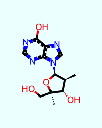 C[C@@H]1[C@H](n2cnc3c(O)ncnc32)O[C@](C)(CO)[C@H]1O